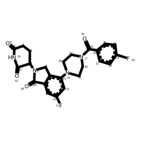 O=C1CCC(N2Cc3c(cc(F)cc3N3CCN(C(=O)c4ccc(F)cc4)CC3)C2=O)C(=O)N1